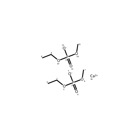 CCOP(=O)([O-])OC.CCOP(=O)([O-])OC.[Ca+2]